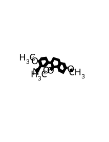 COc1ccc2c(c1)CCC(c1ccc(OC)c(C#N)c1OC)C2=O